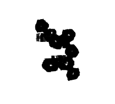 C1=C(c2ccccc2)C=C(c2ccccc2)NC1c1cccc(-n2c3ccccc3c3c4c(ccc32)NC(c2ccccc2)O4)c1